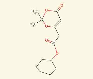 CC1(C)OC(=O)C=C(CC(=O)OC2CCCCC2)O1